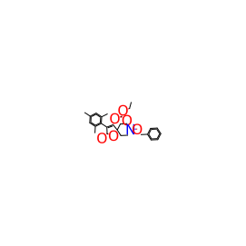 CCOC(=O)OC1=C(c2c(C)cc(C)cc2C)C(=O)OC12CCN(OCc1ccccc1)CC2